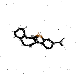 CC(C)c1ccc2c(c1)sc1c3ccccc3ccc21